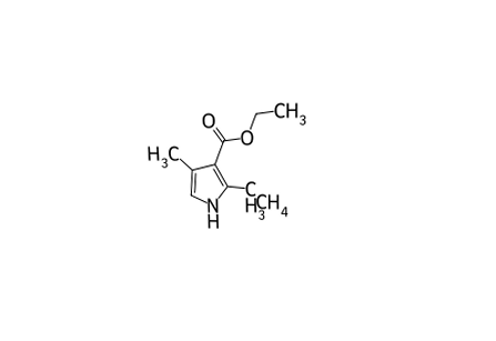 C.CCOC(=O)c1c(C)c[nH]c1C